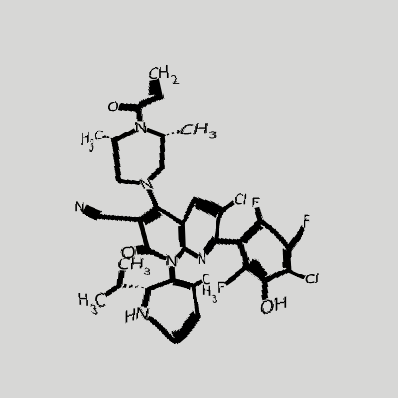 C=CC(=O)N1[C@H](C)CN(c2c(C#N)c(=O)n(C3=C(C)C=CN[C@@H]3C(C)C)c3nc(-c4c(F)c(O)c(Cl)c(F)c4F)c(Cl)cc23)C[C@@H]1C